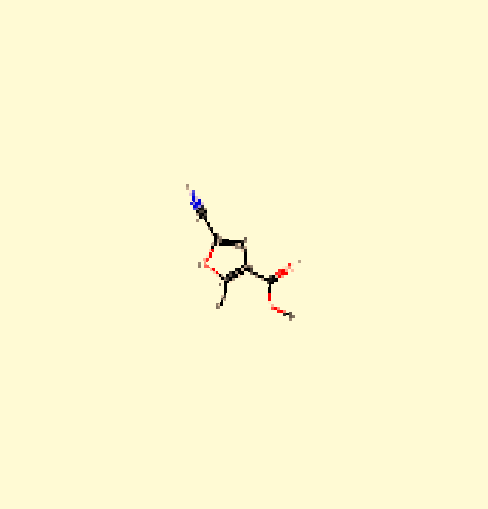 COC(=O)c1cc(C#N)oc1C